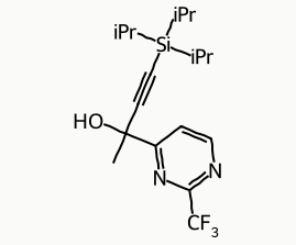 CC(C)[Si](C#CC(C)(O)c1ccnc(C(F)(F)F)n1)(C(C)C)C(C)C